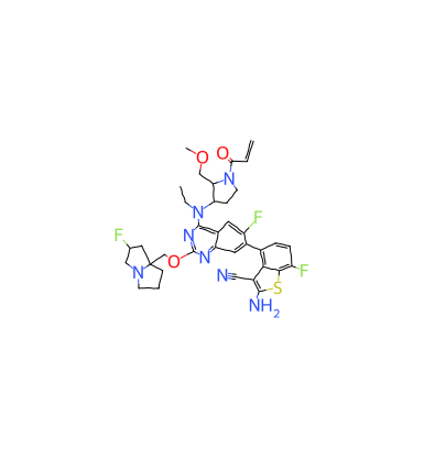 C=CC(=O)N1CCC(N(CC)c2nc(OCC34CCCN3CC(F)C4)nc3cc(-c4ccc(F)c5sc(N)c(C#N)c45)c(F)cc23)C1COC